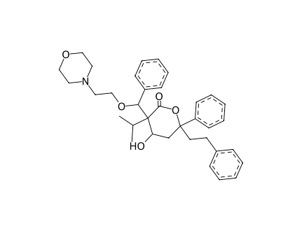 CC(C)C1(C(OCCN2CCOCC2)c2ccccc2)C(=O)OC(CCc2ccccc2)(c2ccccc2)CC1O